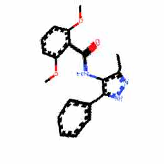 COc1cccc(OC)c1C(=O)Nc1c(C)n[nH]c1-c1ccccc1